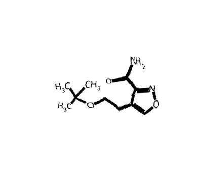 CC(C)(C)OCCc1conc1C(N)=O